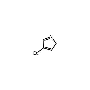 CCC1=CCN=C1